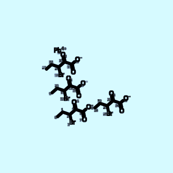 CCC(Br)C(=O)C(=O)[O-].CCC(Br)C(=O)C(=O)[O-].CCC(Br)C(=O)C(=O)[O-].CCC(Br)C(=O)C(=O)[O-].[Pb+4]